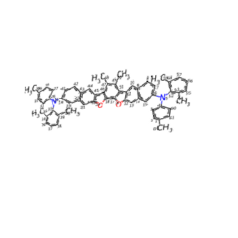 Cc1ccc(N(c2ccc3cc4c(cc3c2)oc2c3oc5cc6cc(N(c7ccc(C)cc7)c7c(C)cccc7C)ccc6cc5c3c(C)c(C)c42)c2c(C)cccc2C)cc1